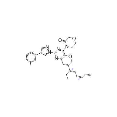 C=C/C=C\C=C(/CC)C1=Cc2nc(-n3cc(-c4cccc(C)c4)cn3)nc(N3CCOCC3=O)c2OC1